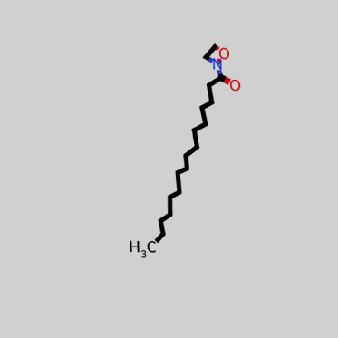 CCCCCCCCCCCCCCCC(=O)N1CCO1